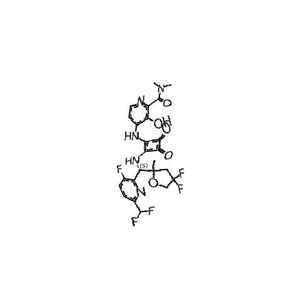 CN(C)C(=O)c1nccc(Nc2c(N[C@@H](c3nc(C(F)F)ccc3F)C3(C)CC(F)(F)CO3)c(=O)c2=O)c1O